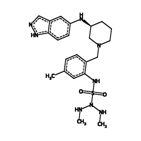 CNN(NC)S(=O)(=O)Nc1cc(C)ccc1CN1CCC[C@H](Nc2ccc3[nH]ncc3c2)C1